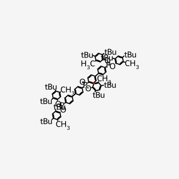 Cc1cc(OP(Oc2cc(C)c(C(C)(C)C)cc2C(C)(C)C)c2ccc(-c3ccc(P(=O)(Oc4cc(C)c(C(C)(C)C)cc4C(C)(C)C)c4ccc(-c5ccc(P(Oc6cc(C)c(C(C)(C)C)cc6C(C)(C)C)Oc6cc(C)c(C(C)(C)C)cc6C(C)(C)C)cc5)cc4)cc3)cc2)c(C(C)(C)C)cc1C(C)(C)C